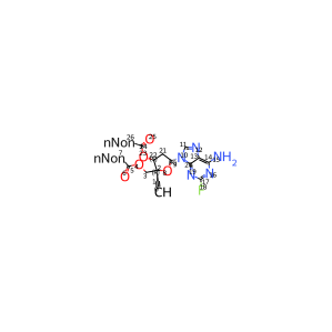 C#C[C@]1(COC(=O)CCCCCCCCC)O[C@@H](n2cnc3c(N)nc(F)nc32)C[C@@H]1OC(=O)CCCCCCCCC